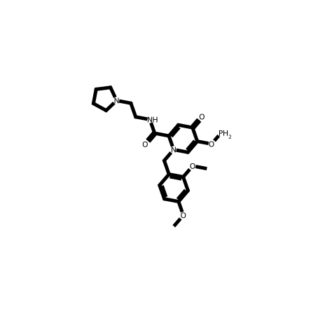 COc1ccc(Cn2cc(OP)c(=O)cc2C(=O)NCCN2CCCC2)c(OC)c1